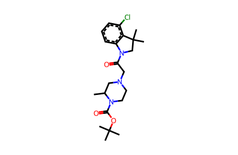 CC1CN(CC(=O)N2CC(C)(C)c3c(Cl)cccc32)CCN1C(=O)OC(C)(C)C